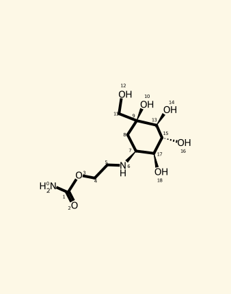 NC(=O)OCCN[C@H]1C[C@](O)(CO)[C@@H](O)[C@H](O)[C@H]1O